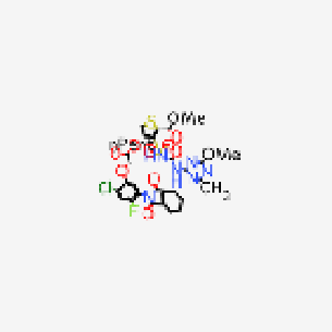 CCCCCOC(=O)COc1cc(N2C(=O)C3=C(CCCC3)C2=O)c(F)cc1Cl.COC(=O)c1sccc1S(=O)(=O)NC(=O)Nc1nc(C)nc(OC)n1